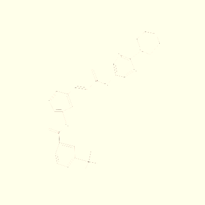 O=C(/C=C/c1cccc(NC(=O)c2cccc(C(F)(F)F)c2)c1)Nc1cnc(N2CCOCC2)nc1